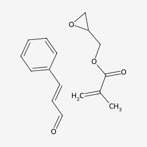 C=C(C)C(=O)OCC1CO1.O=CC=Cc1ccccc1